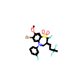 COc1cc2c(cc1Br)N(c1cccc(F)c1)CC(CCC(C)(F)F)C(F)S2(=O)=O